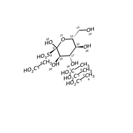 CC(=O)O.CC(=O)O.CC(=O)O.CC(=O)O.O=S(=O)(O)[C@@]1(O)O[C@H](CO)[C@@H](O)[C@H](O)[C@H]1O